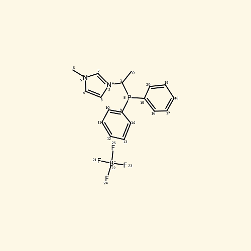 CC([n+]1ccn(C)c1)P(c1ccccc1)c1ccccc1.F[B-](F)(F)F